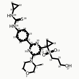 C[C@H]1COCCN1c1cc(C2(S(=O)(=O)CCCO)CC2)nc(-c2ccc(NC(=S)NC3CC3)cc2)n1